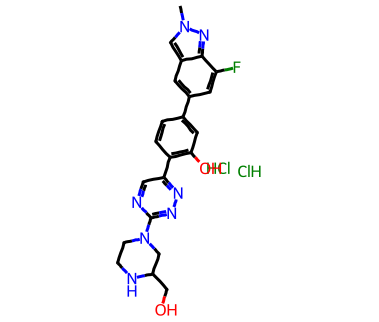 Cl.Cl.Cn1cc2cc(-c3ccc(-c4cnc(N5CCNC(CO)C5)nn4)c(O)c3)cc(F)c2n1